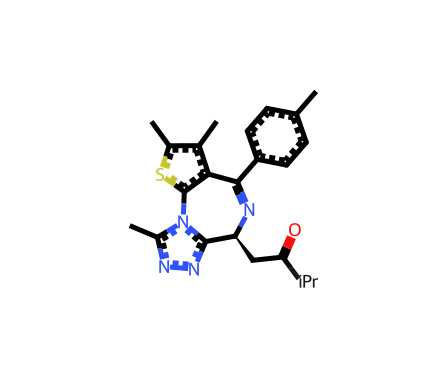 Cc1ccc(C2=N[C@@H](CC(=O)C(C)C)c3nnc(C)n3-c3sc(C)c(C)c32)cc1